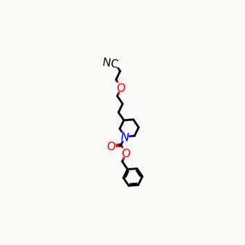 N#CCCOCCCC1CCCN(C(=O)OCc2ccccc2)C1